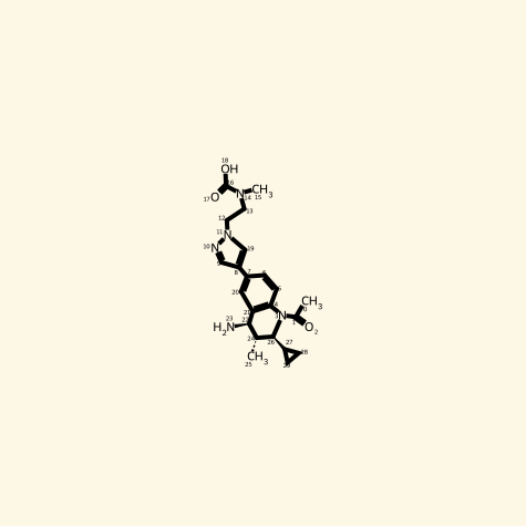 CC(=O)N1c2ccc(-c3cnn(CCN(C)C(=O)O)c3)cc2[C@H](N)[C@@H](C)[C@@H]1C1CC1